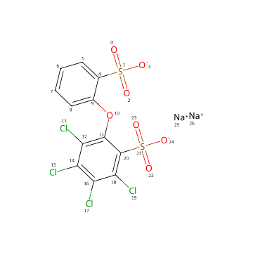 O=S(=O)([O-])c1ccccc1Oc1c(Cl)c(Cl)c(Cl)c(Cl)c1S(=O)(=O)[O-].[Na+].[Na+]